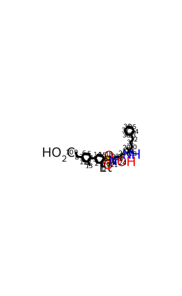 CCc1cc(-c2ccc(CCC(=O)O)cc2C)ccc1S(=O)(=O)N(C)CC(O)CNC(C)(C)CCCc1ccccc1